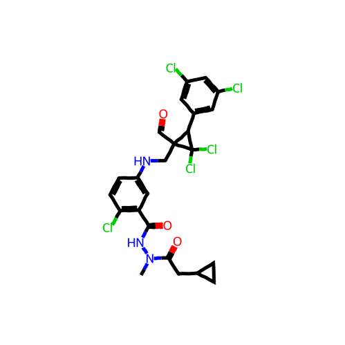 CN(NC(=O)c1cc(NCC2(C=O)C(c3cc(Cl)cc(Cl)c3)C2(Cl)Cl)ccc1Cl)C(=O)CC1CC1